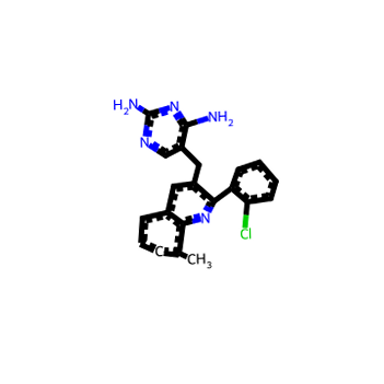 Cc1cccc2cc(Cc3cnc(N)nc3N)c(-c3ccccc3Cl)nc12